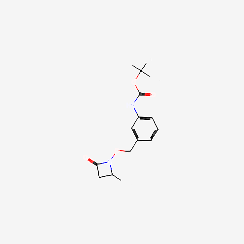 CC1CC(=O)N1OCc1cccc(NC(=O)OC(C)(C)C)c1